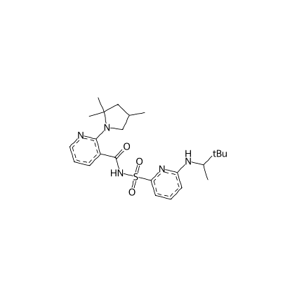 CC1CN(c2ncccc2C(=O)NS(=O)(=O)c2cccc(NC(C)C(C)(C)C)n2)C(C)(C)C1